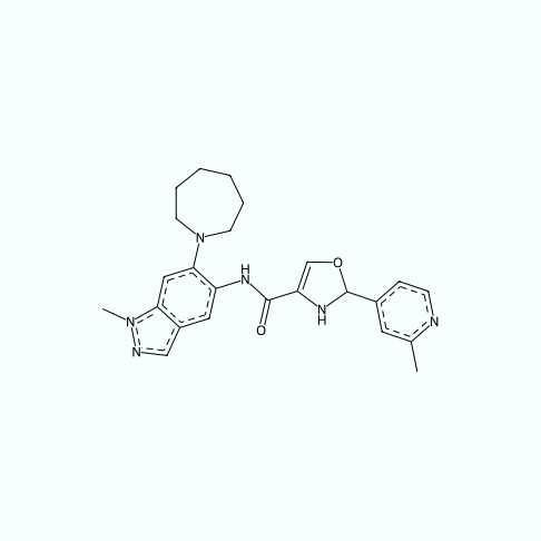 Cc1cc(C2NC(C(=O)Nc3cc4cnn(C)c4cc3N3CCCCCC3)=CO2)ccn1